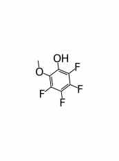 COc1c(O)c(F)c(F)c(F)c1F